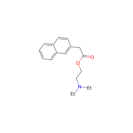 CCN(CC)CCOC(=O)Cc1ccc2ccccc2c1